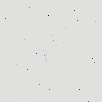 CCCCCCC(C)c1ccn(C)n1